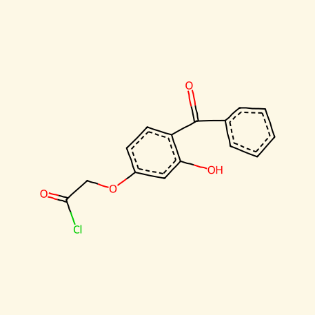 O=C(Cl)COc1ccc(C(=O)c2ccccc2)c(O)c1